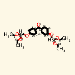 CCO[SiH](COc1ccc(C(=O)c2ccc(OC[SiH](OCC)OCC)cc2)cc1)OCC